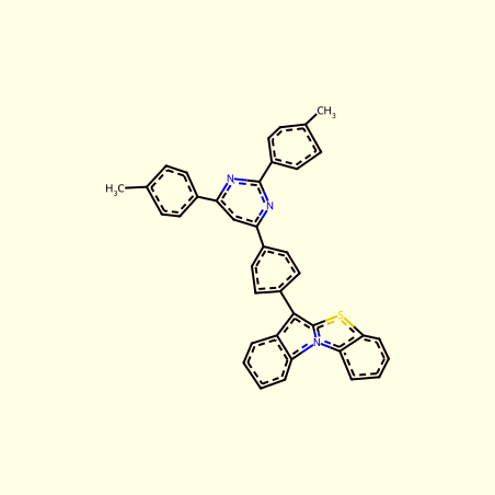 Cc1ccc(-c2cc(-c3ccc(-c4c5ccccc5n5c4sc4ccccc45)cc3)nc(-c3ccc(C)cc3)n2)cc1